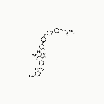 NC(=O)CCNc1ccc(N2CCC(CN3CCN(c4ccc5c(c4)CCn4nc(-c6ccc(C(=O)Nc7cc(C(F)(F)F)ccn7)cc6)c(C(N)=O)c4N5)CC3)CC2)cc1